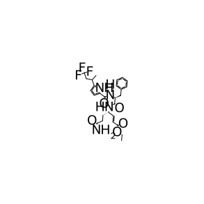 CCOC(=O)/C=C/[C@H](CCC(N)=O)NC(=O)[C@H](Cc1ccccc1)NC(=O)c1ccc(C(C)CC(F)(F)F)[nH]1